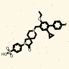 CCOc1cc(-c2ccc(F)cc2)c(C2CC2)cc1CN1CCC2(CC1)CC(=O)N(c1ccc(S(=O)(=O)O)cc1)C2